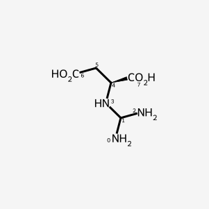 NC(N)N[C@@H](CC(=O)O)C(=O)O